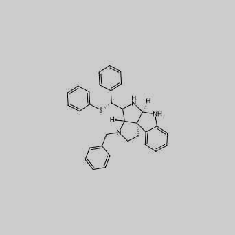 c1ccc(CN2CC[C@@]34c5ccccc5N[C@@H]3NC([C@H](Sc3ccccc3)c3ccccc3)[C@@H]24)cc1